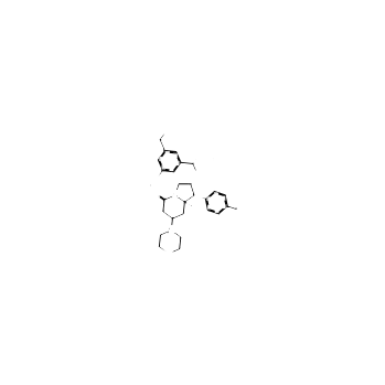 C[C@@H](O[C@H]1CN2C(=O)CC(N3CCOCC3)C[C@H]2[C@@H]1c1ccc(F)cc1)c1cc(CF)cc(C(F)(F)F)c1